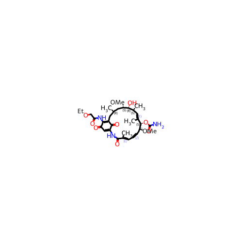 CCOCC(=O)NC1=C2C[C@@H](C)C[C@H](OC)[C@H](O)[C@@H](C)/C=C(\C)[C@H](OC(N)=O)[C@@H](OC)/C=C\C=C(/C)C(=O)NC(=CC1=O)C2=O